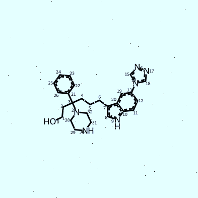 OCCC(CCCc1c[nH]c2ccc(-n3cnnc3)cc12)(c1ccccc1)N1CCNCC1